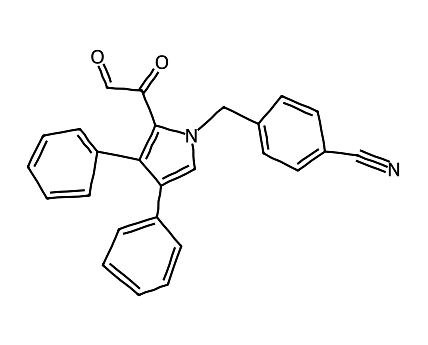 N#Cc1ccc(Cn2cc(-c3ccccc3)c(-c3ccccc3)c2C(=O)C=O)cc1